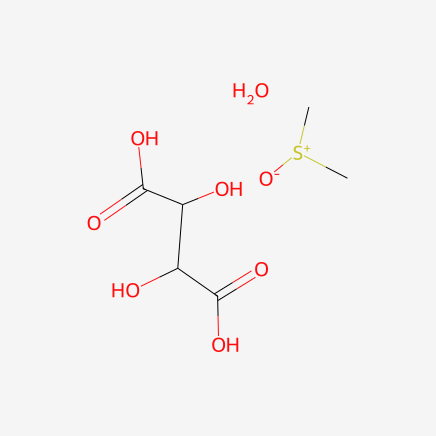 C[S+](C)[O-].O.O=C(O)C(O)C(O)C(=O)O